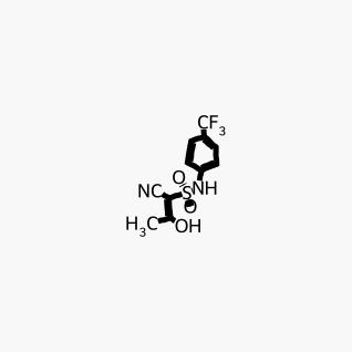 CC(O)=C(C#N)S(=O)(=O)Nc1ccc(C(F)(F)F)cc1